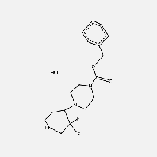 Cl.O=C(OCc1ccccc1)N1CCN(C2CCNCC2(F)F)CC1